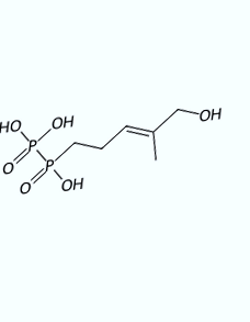 C/C(=C\CCP(=O)(O)P(=O)(O)O)CO